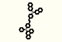 C(=C\c1ccc(N(c2ccccc2)c2cc3ccccc3c3ccccc23)cc1)/c1ccc(N(c2ccc3ccccc3c2)c2ccc3ccccc3c2)cc1